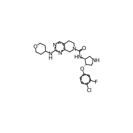 O=C(N[C@H]1CNC[C@@H]1Oc1ccc(Cl)c(F)c1)N1CCc2cnc(NC3CCOCC3)nc2C1